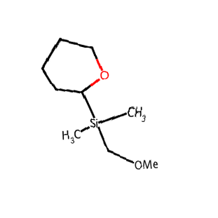 COC[Si](C)(C)C1CCCCO1